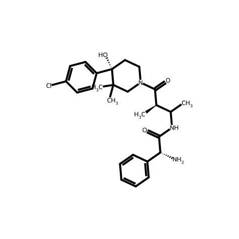 CC(NC(=O)[C@H](N)c1ccccc1)[C@@H](C)C(=O)N1CC[C@](O)(c2ccc(Cl)cc2)C(C)(C)C1